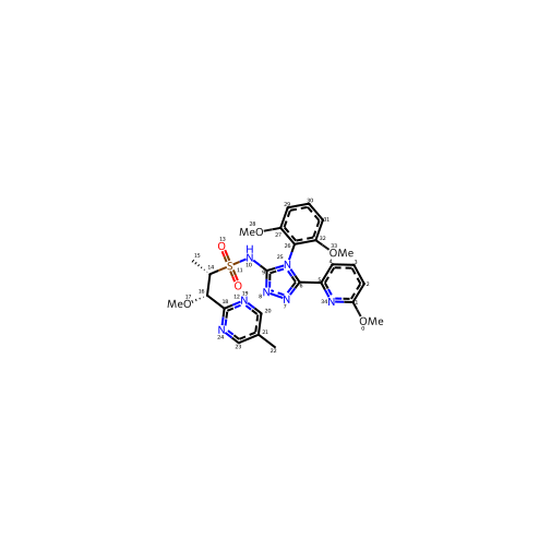 COc1cccc(-c2nnc(NS(=O)(=O)[C@@H](C)[C@@H](OC)c3ncc(C)cn3)n2-c2c(OC)cccc2OC)n1